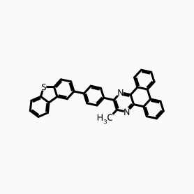 Cc1nc2c3ccccc3c3ccccc3c2nc1-c1ccc(-c2ccc3sc4ccccc4c3c2)cc1